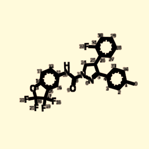 Cc1ccc(C2=NN(C(=O)Nc3ccc4c(c3)C(F)(F)C(F)(F)O4)CC2c2ccccc2F)cc1